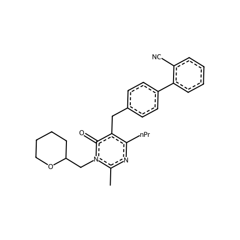 CCCc1nc(C)n(CC2CCCCO2)c(=O)c1Cc1ccc(-c2ccccc2C#N)cc1